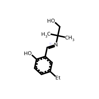 CCc1ccc(O)c(/C=N/C(C)(C)CO)c1